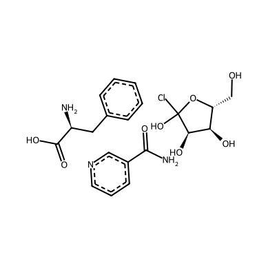 NC(=O)c1cccnc1.N[C@@H](Cc1ccccc1)C(=O)O.OC[C@H]1OC(O)(Cl)[C@H](O)[C@@H]1O